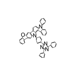 c1ccc(-c2nc(-c3ccccc3)nc(-c3ccc(-n4c5cc6c(cc5c5ccc7c(c8ccccc8n7-c7ccccc7)c54)oc4ccccc46)cc3)n2)cc1